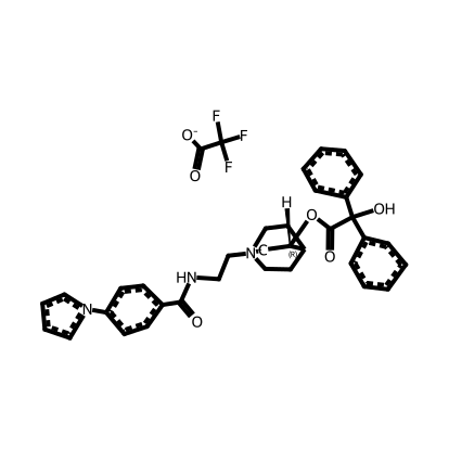 O=C(NCC[N+]12CCC(CC1)[C@@H](OC(=O)C(O)(c1ccccc1)c1ccccc1)C2)c1ccc(-n2cccc2)cc1.O=C([O-])C(F)(F)F